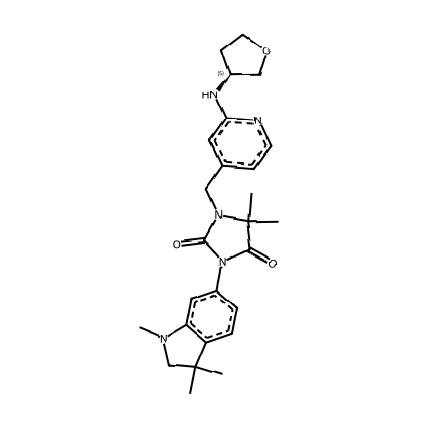 CN1CC(C)(C)c2ccc(N3C(=O)N(Cc4ccnc(N[C@H]5CCOC5)c4)C(C)(C)C3=O)cc21